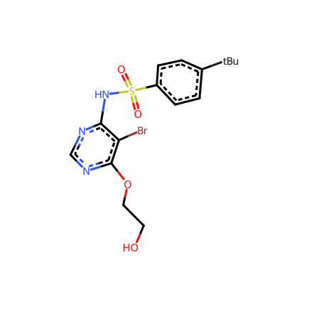 CC(C)(C)c1ccc(S(=O)(=O)Nc2ncnc(OCCO)c2Br)cc1